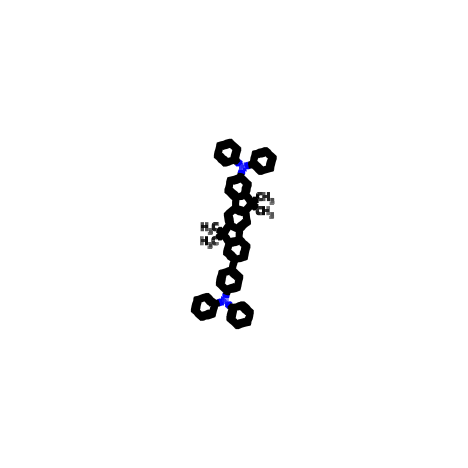 CC1(C)c2cc(-c3ccc(N(c4ccccc4)c4ccccc4)cc3)ccc2-c2cc3c(cc21)-c1ccc(N(c2ccccc2)c2ccccc2)cc1C3(C)C